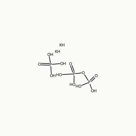 O=P(O)(O)O.O=P(O)(O)OP(=O)(O)O.[KH].[KH]